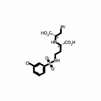 CC(C)C[C@H](N[C@@H](CCNS(=O)(=O)c1cccc(Cl)c1)C(=O)O)C(=O)O